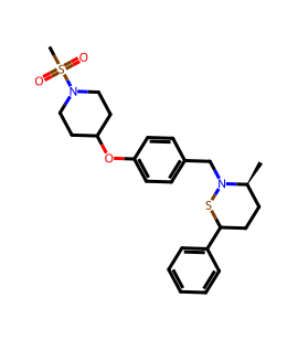 C[C@H]1CCC(c2ccccc2)SN1Cc1ccc(OC2CCN(S(C)(=O)=O)CC2)cc1